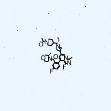 CC[C@@H](C1CCN(C(C)=O)CC1)N1CC(c2cc(-c3ccc(F)cc3C(=O)N3CCOC[C@H]3C)c3c(F)nc(C)n3c2)C1